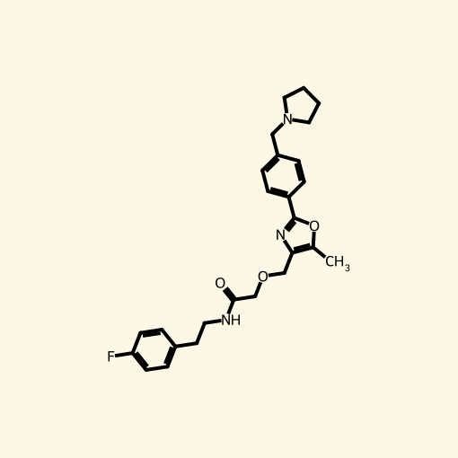 Cc1oc(-c2ccc(CN3CCCC3)cc2)nc1COCC(=O)NCCc1ccc(F)cc1